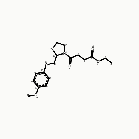 CCOC(=O)CCC(=O)N1CCSC1COc1ccc(OC)cc1